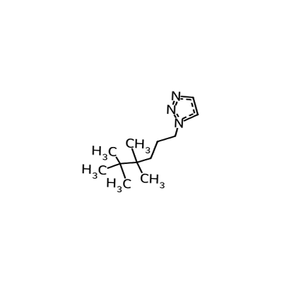 CC(C)(C)C(C)(C)CCCn1ccnn1